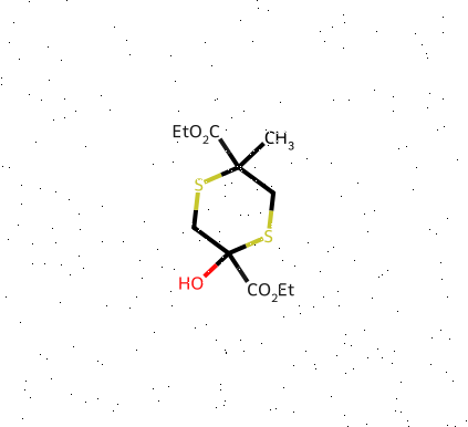 CCOC(=O)C1(C)CSC(O)(C(=O)OCC)CS1